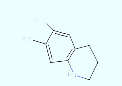 Cc1cc2c(cc1C)NCCC2